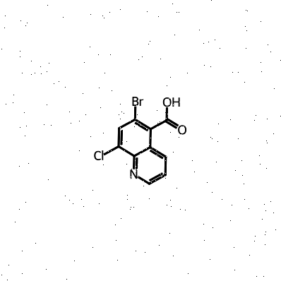 O=C(O)c1c(Br)cc(Cl)c2ncccc12